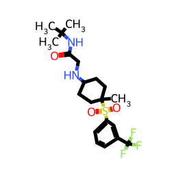 CC(C)(C)NC(=O)CNC1CCC(C)(S(=O)(=O)c2cccc(C(F)(F)F)c2)CC1